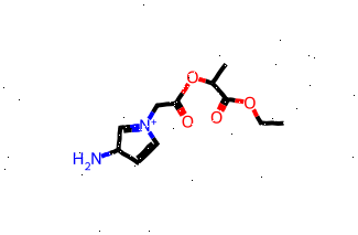 CCOC(=O)C(C)OC(=O)C[N+]1=CC(N)C=C1